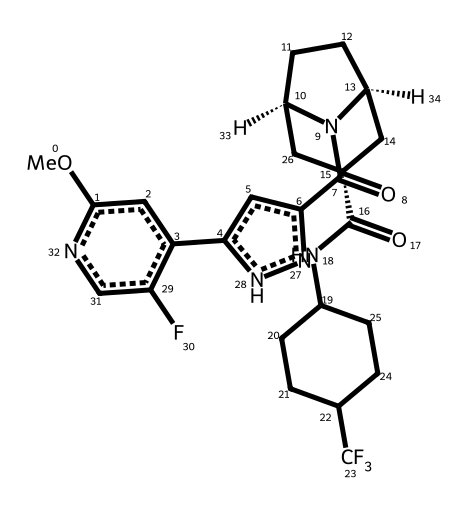 COc1cc(-c2cc(C(=O)N3[C@@H]4CC[C@H]3C[C@H](C(=O)NC3CCC(C(F)(F)F)CC3)C4)n[nH]2)c(F)cn1